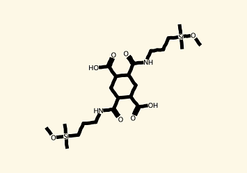 CO[Si](C)(C)CCCNC(=O)C1CC(C(=O)O)C(C(=O)NCCC[Si](C)(C)OC)CC1C(=O)O